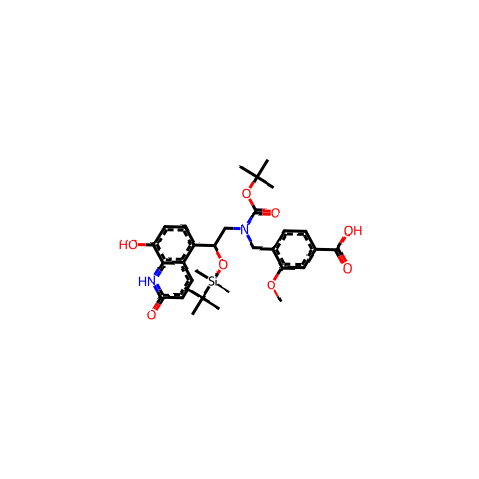 COc1cc(C(=O)O)ccc1CN(CC(O[Si](C)(C)C(C)(C)C)c1ccc(O)c2[nH]c(=O)ccc12)C(=O)OC(C)(C)C